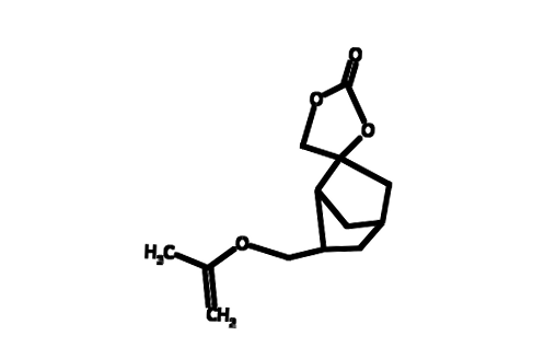 C=C(C)OCC1CC2CC1C1(COC(=O)O1)C2